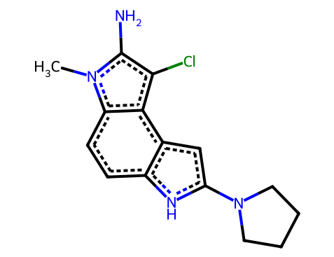 Cn1c(N)c(Cl)c2c3cc(N4CCCC4)[nH]c3ccc21